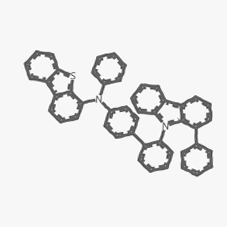 c1ccc(-c2cccc3c4ccccc4n(-c4ccccc4-c4ccc(N(c5ccccc5)c5cccc6c5sc5ccccc56)cc4)c23)cc1